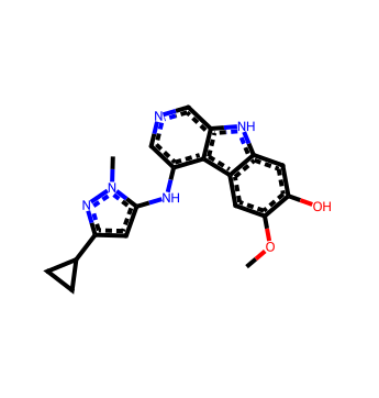 COc1cc2c(cc1O)[nH]c1cncc(Nc3cc(C4CC4)nn3C)c12